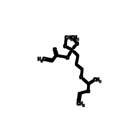 C=COC(C)OCCC[Si](OC)(OC)OC(=O)C=C